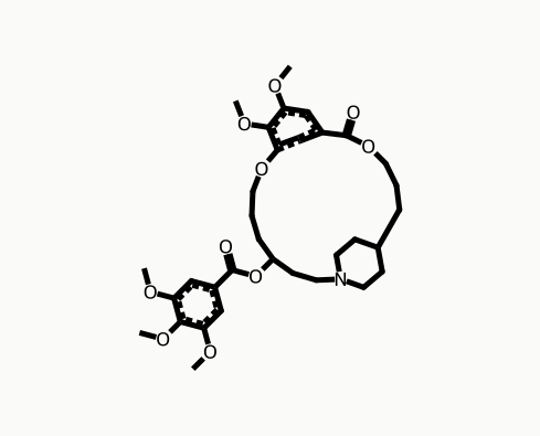 COc1cc(C(=O)OC2CCCOc3cc(cc(OC)c3OC)C(=O)OCCCC3CCN(CC3)CC2)cc(OC)c1OC